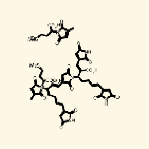 CSCCC(C(=O)O)N1C(=O)C=C(C)C1=O.CSCCC(C(=O)[O-])[N+]1(C(CCC=CC2=CC(=O)NC2=O)C(=CC2=CC(=O)N(C(CCC=CC3=CC(=O)NC3=O)C(=CC3=CC(=O)NC3=O)C(=O)O)C2=O)C(=O)O)C(=O)C=C(C)C1=O.[Zn]